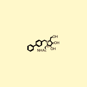 CC(=O)NC[C@@H]1[C@@H](O)[C@H](O)C(CO)N1Cc1ccc(-c2ccccc2)cc1